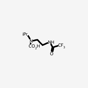 CC(C)N(CCNC(=O)C(F)(F)F)C(=O)O